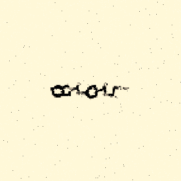 COC[C@H](C)NC(=O)c1ccc(NC(=O)N2Cc3ccccc3C2)cc1